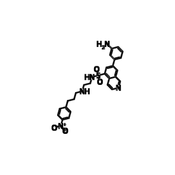 Nc1cccc(-c2cc(S(=O)(=O)NCCNCCCc3ccc([N+](=O)[O-])cc3)c3ccncc3c2)c1